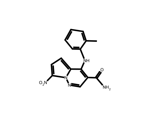 Cc1ccccc1Nc1c(C(N)=O)cnn2c([N+](=O)[O-])ccc12